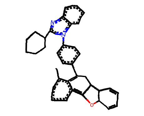 Cc1cccc2c1=C(c1ccc(-n3c(C4CCCCC4)nc4ccccc43)cc1)CC1C=2OC2C=CC=CC21